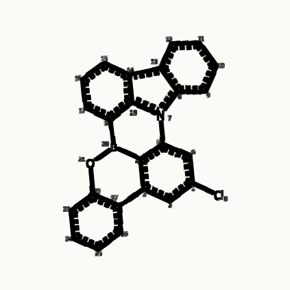 Clc1cc2c3c(c1)-n1c4ccccc4c4cccc(c41)B3Oc1ccccc1-2